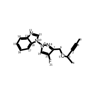 CC#CC(C)OCc1nn(-n2cnc3ccccc32)cc1F